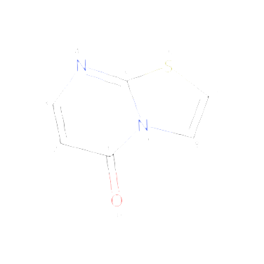 O=c1ccnc2sccn12